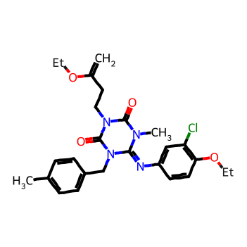 C=C(CCn1c(=O)n(C)/c(=N\c2ccc(OCC)c(Cl)c2)n(Cc2ccc(C)cc2)c1=O)OCC